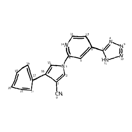 N#Cc1cn(-c2cc(-c3nnn[nH]3)ccn2)cc1-c1ccccc1